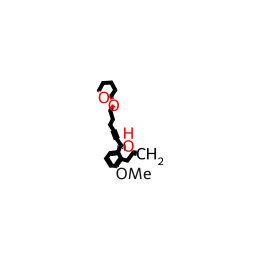 C=CCc1c(OC)cccc1[C@@H](O)C#CCCCOC1CCCCO1